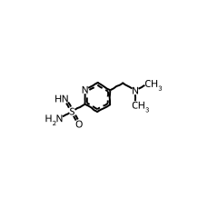 CN(C)Cc1ccc(S(=N)(N)=O)nc1